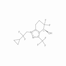 O[C@H]1c2c(C(F)(F)F)nn(CC(F)(F)C3CC3)c2CCC1(F)F